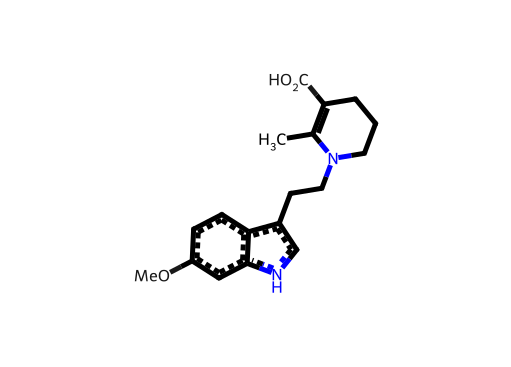 COc1ccc2c(CCN3CCCC(C(=O)O)=C3C)c[nH]c2c1